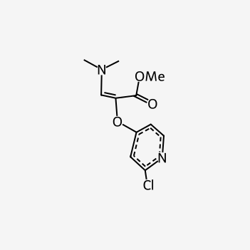 COC(=O)C(=CN(C)C)Oc1ccnc(Cl)c1